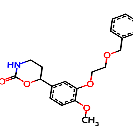 COc1ccc(C2CCNC(=O)O2)cc1OCCOCc1ccccc1